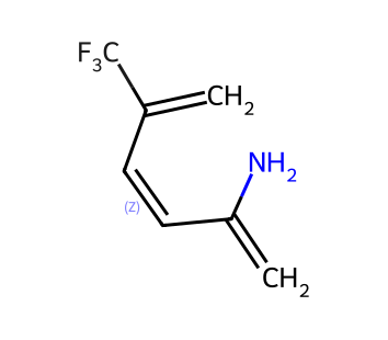 C=C(N)/C=C\C(=C)C(F)(F)F